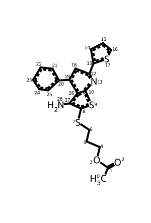 CC(=O)OCCCSc1sc2nc(-c3cccs3)cc(-c3ccccc3)c2c1N